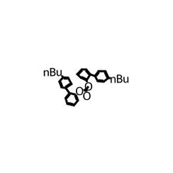 CCCCc1ccc(-c2ccccc2OC(=O)Oc2ccccc2-c2ccc(CCCC)cc2)cc1